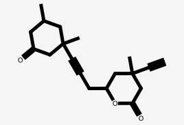 C#CC1(C)CC(=O)OC(CC#CC2(C)CC(=O)CC(C)C2)C1